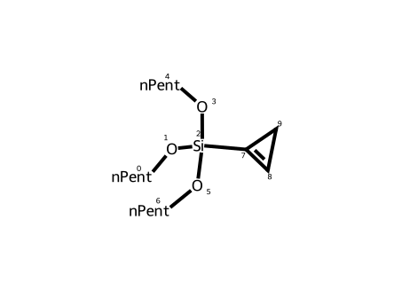 CCCCCO[Si](OCCCCC)(OCCCCC)C1=CC1